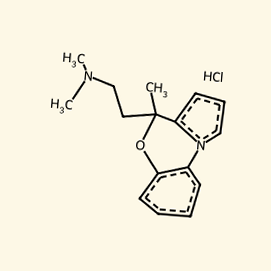 CN(C)CCC1(C)Oc2ccccc2-n2cccc21.Cl